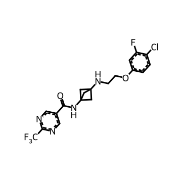 O=C(NC12CC(NCCOc3ccc(Cl)c(F)c3)(C1)C2)c1cnc(C(F)(F)F)nc1